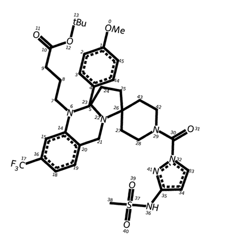 COc1ccc(CN(CCCC(=O)OC(C)(C)C)c2cc(C(F)(F)F)ccc2CN2CCCC23CCN(C(=O)n2ccc(NS(C)(=O)=O)n2)CC3)cc1